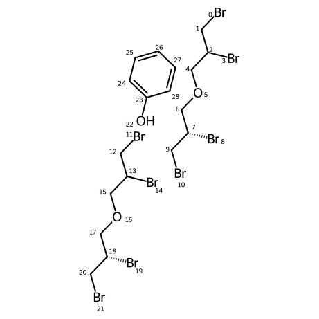 BrCC(Br)COC[C@H](Br)CBr.BrCC(Br)COC[C@H](Br)CBr.Oc1ccccc1